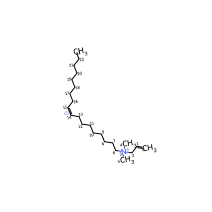 C=CC[N+](C)(C)CCCCCCCC/C=C\CCCCCCCC